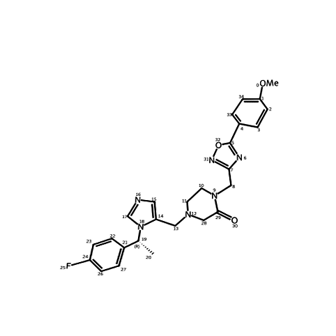 COc1ccc(-c2nc(CN3CCN(Cc4cncn4[C@H](C)c4ccc(F)cc4)CC3=O)no2)cc1